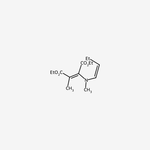 CC/C=C\N(C)/C(C(=O)OCC)=C(\C)C(=O)OCC